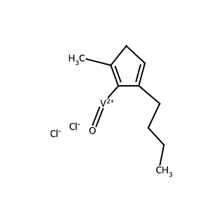 CCCCC1=CCC(C)=[C]1[V+2]=[O].[Cl-].[Cl-]